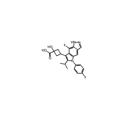 CC(C)c1c(C2CC(O)(C(=O)O)C2)c2c(F)c3[nH]ncc3cc2n1-c1ccc(F)cc1